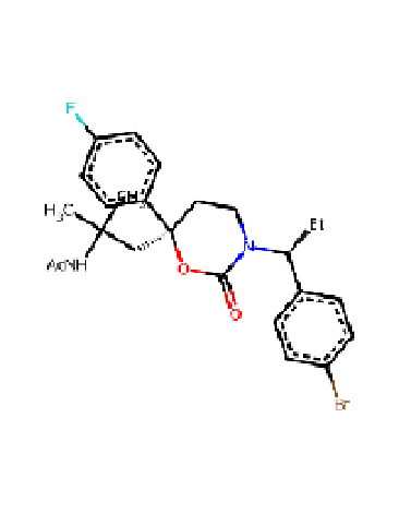 CC[C@@H](c1ccc(Br)cc1)N1CC[C@](CC(C)(C)NC(C)=O)(c2ccc(F)cc2)OC1=O